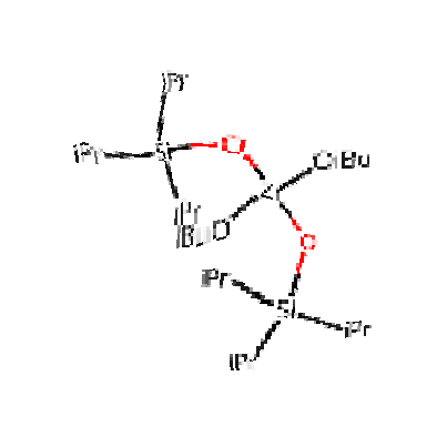 CC(C)C[O][Zr]([O]CC(C)C)([O][Si](C(C)C)(C(C)C)C(C)C)[O][Si](C(C)C)(C(C)C)C(C)C